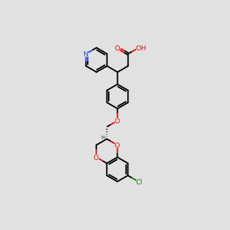 O=C(O)CC(c1ccncc1)c1ccc(OC[C@H]2COc3ccc(Cl)cc3O2)cc1